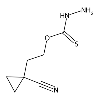 N#CC1(CCOC(=S)NN)CC1